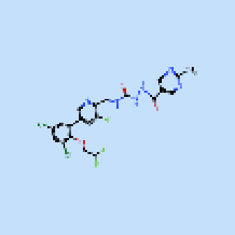 Cc1ncc(C(=O)NNC(=O)NCc2ncc(-c3cc(Cl)cc(Cl)c3OCC(F)F)cc2F)cn1